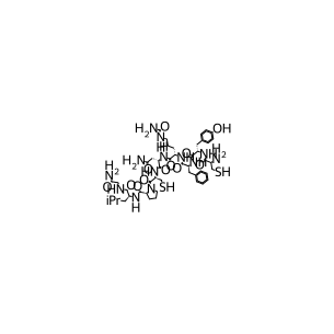 CC(C)C[C@H](NC(=O)[C@@H]1CCCN1C(=O)[C@H](CS)NC(=O)[C@H](CC(N)=O)NC(=O)[C@H](CCCNC(N)=O)NC(=O)[C@H](Cc1ccccc1)NC(=O)[C@H](Cc1ccc(O)cc1)NC(=O)[C@@H](N)CS)C(=O)NCC(N)=O